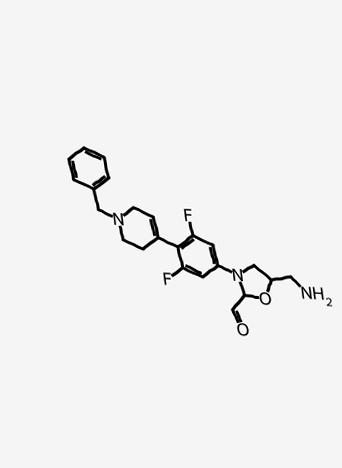 NCC1CN(c2cc(F)c(C3=CCN(Cc4ccccc4)CC3)c(F)c2)C(C=O)O1